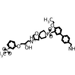 CCOc1ccc(-c2ccc(CN)cc2)cc1S(=O)(=O)N1CCC2(CC1)C[C@H](NC[C@H](O)COc1cccc(S(C)(=O)=O)c1)CO2